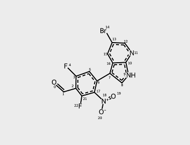 O=Cc1c(F)cc(-c2c[nH]c3ncc(Br)cc23)c([N+](=O)[O-])c1F